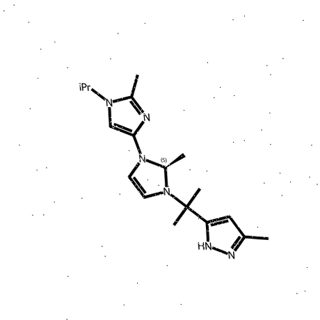 Cc1cc(C(C)(C)N2C=CN(c3cn(C(C)C)c(C)n3)[C@H]2C)[nH]n1